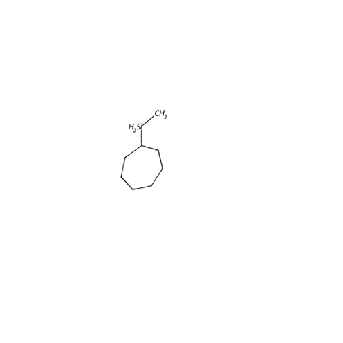 C[SiH2]C1CCCCCC1